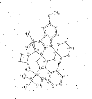 COc1ccc2c3c(n(C(C)=O)c2c1)C(CO[Si](C)(C)C(C)(C)C)(C(=O)C1CCC1)N(Cc1ccccc1F)CC31CCNCC1